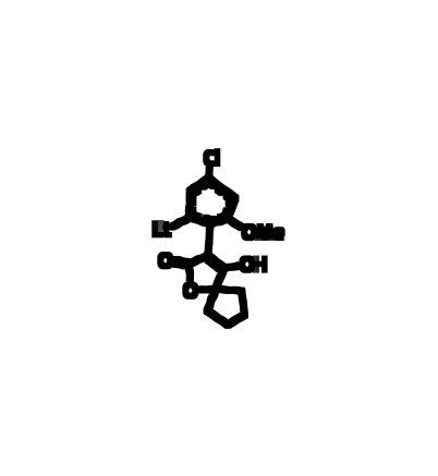 CCc1cc(Cl)cc(OC)c1C1=C(O)C2(CCCC2)OC1=O